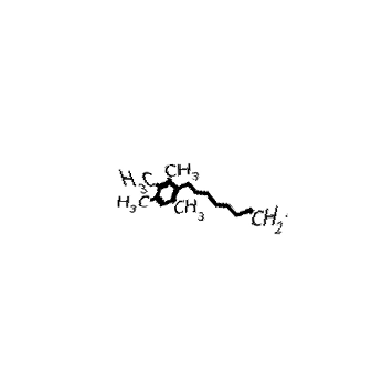 [CH2]CCCCCCCc1c(C)cc(C)c(C)c1C